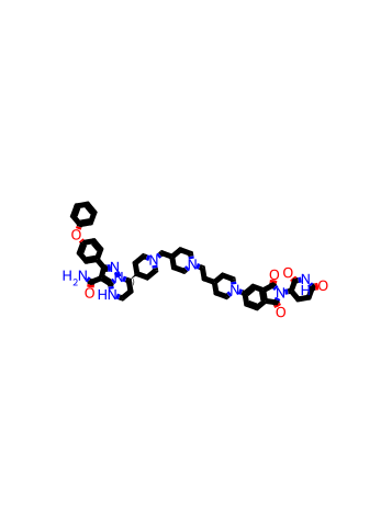 NC(=O)c1c(-c2ccc(Oc3ccccc3)cc2)nn2c1NCC[C@H]2C1CCN(CC2CCN(CCC3CCN(c4ccc5c(c4)C(=O)N(C4CCC(=O)NC4=O)C5=O)CC3)CC2)CC1